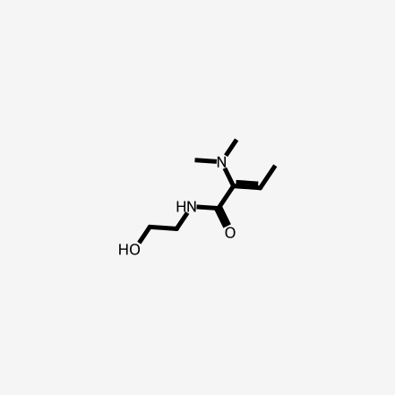 CC=C(C(=O)NCCO)N(C)C